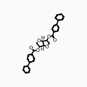 O=C(OC1CO[C@H]2[C@@H](OC(=O)c3ccc(-c4ccccc4)cc3)CO[C@@H]12)c1ccc(-c2ccccc2)cc1